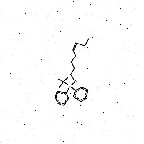 CC/C=C\CCCCO[Si](c1ccccc1)(c1ccccc1)C(C)(C)C